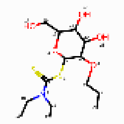 CCCOC1C(SC(=S)N(CC)CC)OC(CO)C(O)C1O